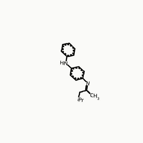 CC(CC(C)C)=Nc1ccc(Nc2ccccc2)cc1